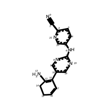 N#Cc1ccc(Nc2ncc(C3=C(N)CCC=C3)cn2)cn1